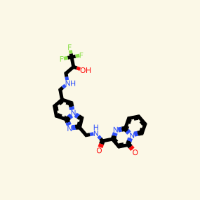 O=C(NCc1cn2cc(CNCC(O)C(F)(F)F)ccc2n1)c1cc(=O)n2ccccc2n1